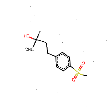 CC(O)(C=O)CCc1ccc(S(C)(=O)=O)cc1